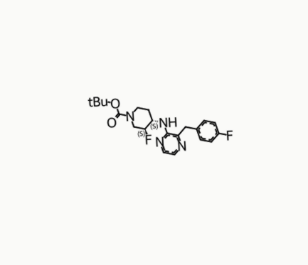 CC(C)(C)OC(=O)N1CC[C@H](Nc2nccnc2Cc2ccc(F)cc2)[C@@H](F)C1